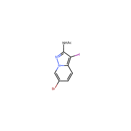 CC(=O)Nc1nn2cc(Br)ccc2c1I